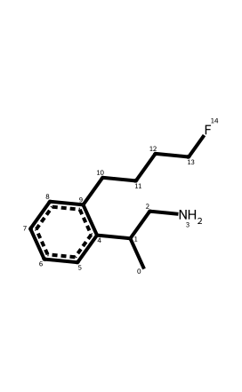 CC(CN)c1ccccc1CCCCF